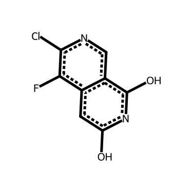 Oc1cc2c(F)c(Cl)ncc2c(O)n1